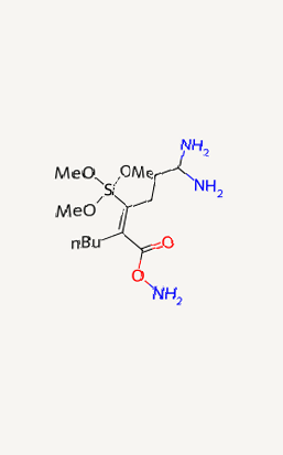 CCCCC(C(=O)ON)=C(CCC(N)N)[Si](OC)(OC)OC